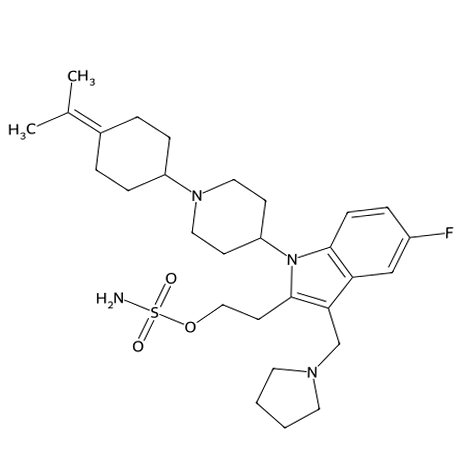 CC(C)=C1CCC(N2CCC(n3c(CCOS(N)(=O)=O)c(CN4CCCC4)c4cc(F)ccc43)CC2)CC1